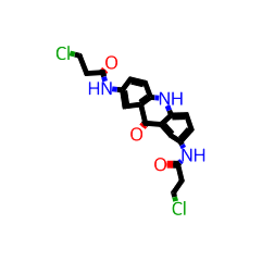 O=C(CCCl)Nc1ccc2[nH]c3ccc(NC(=O)CCCl)cc3c(=O)c2c1